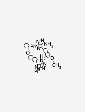 C=CCOc1ccc2cc(-c3nn(C(C)C)c4ncnc(N)c34)ccc2c1.CC(C)n1nc(-c2ccc3cc(OCc4ccccc4)ccc3c2)c2c(N)ncnc21